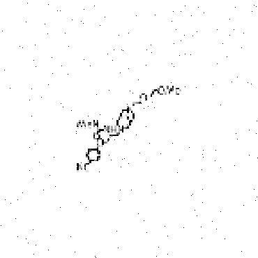 CNC(=O)NC(COc1ccc(C#N)cc1)CN1CC2CC(CN(CCOCCOC)C2)C1